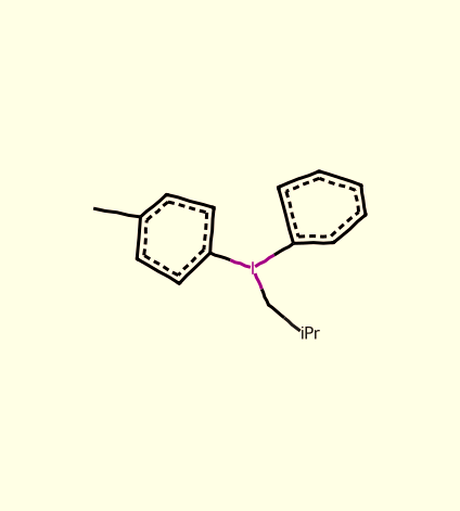 Cc1ccc(I(CC(C)C)c2ccccc2)cc1